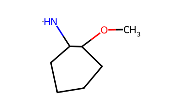 COC1CCCCC1[NH]